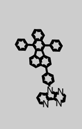 c1ccc(-c2c3c(c(-c4ccccc4)c4ccccc24)-c2ccc(-c4ccc(-n5c6cccnc6c6nccnc65)cc4)c4cccc-3c24)cc1